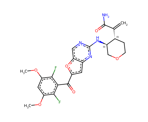 C=C(C(N)=O)[C@@H]1CCOC[C@H]1Nc1ncc2oc(C(=O)c3c(F)c(OC)cc(OC)c3F)cc2n1